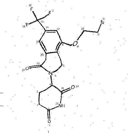 O=C1CCC(N2Cc3c(OCCBr)cc(C(F)(F)F)cc3C2=O)C(=O)N1